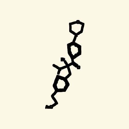 CCC(Cc1ccc(CCOC(C)=O)cc1)(C(=O)c1ccc(N2CCOCC2)cc1)N(C)C